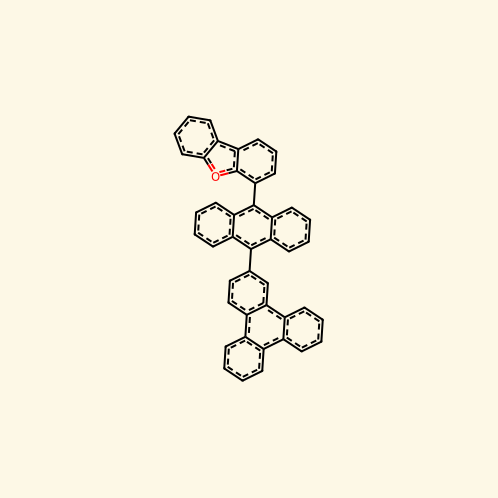 c1ccc2c(c1)oc1c(-c3c4ccccc4c(-c4ccc5c6ccccc6c6ccccc6c5c4)c4ccccc34)cccc12